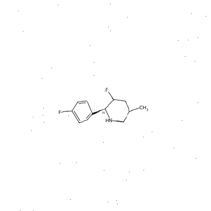 CC1CN[C@@H](c2ccc(F)cc2)C(F)C1